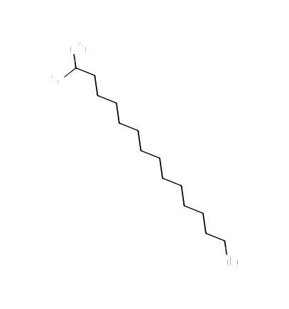 CCCC(CCCCCCCCCCCCCC(C)C)C(C)=O